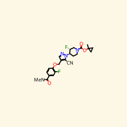 CNC(=O)c1ccc(OCc2cnn([C@@H]3CCN(C(=O)OC4(C)CC4)C[C@H]3F)c2C#N)c(F)c1